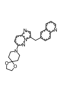 c1cnc2ccc(Cc3cnc4ccc(N5CCC6(CC5)OCCO6)nn34)cc2c1